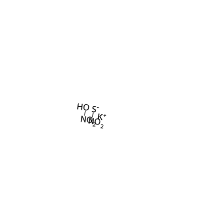 O=[N+]([O-])O.O=[N+]([O-])[S-].[K+]